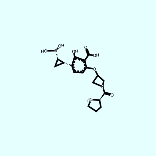 O=C(O)c1c(OC2CN(C(=O)[C@H]3CCCN3)C2)ccc([C@@H]2C[C@@H]2B(O)O)c1O